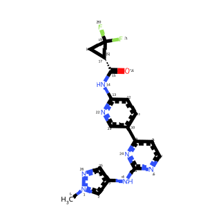 Cn1cc(Nc2nccc(-c3ccc(NC(=O)[C@@H]4CC4(F)F)nc3)n2)cn1